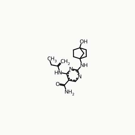 C=C(CC)Nc1nc(NC23CCC(O)(CC2)C3)ncc1C(N)=O